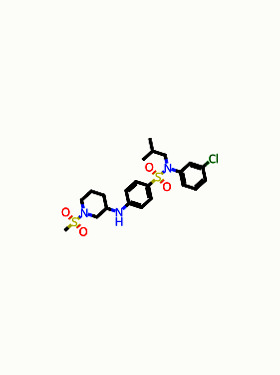 CC(C)CN(c1cccc(Cl)c1)S(=O)(=O)c1ccc(NC2CCCN(S(C)(=O)=O)C2)cc1